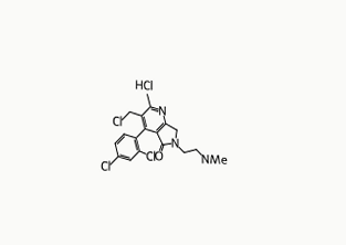 CNCCN1Cc2nc(C)c(CCl)c(-c3ccc(Cl)cc3Cl)c2C1=O.Cl